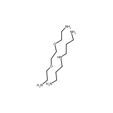 NCCCNCCCN.NCCOCCOCCN